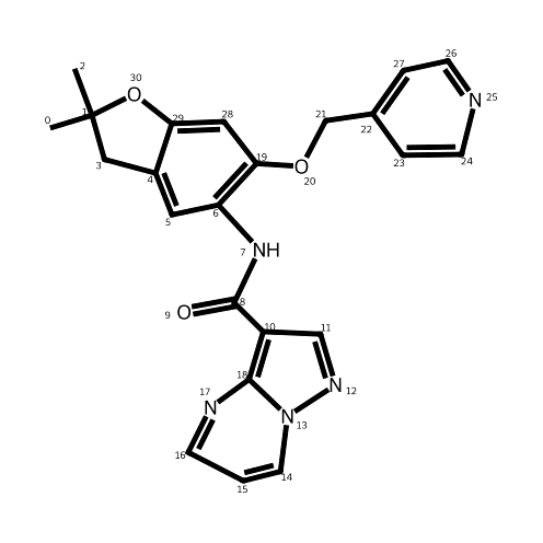 CC1(C)Cc2cc(NC(=O)c3cnn4cccnc34)c(OCc3ccncc3)cc2O1